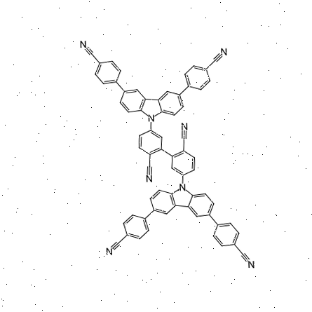 N#Cc1ccc(-c2ccc3c(c2)c2cc(-c4ccc(C#N)cc4)ccc2n3-c2ccc(C#N)c(-c3cc(-n4c5ccc(-c6ccc(C#N)cc6)cc5c5cc(-c6ccc(C#N)cc6)ccc54)ccc3C#N)c2)cc1